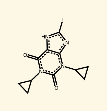 O=c1c2[nH]c(I)nc2n(C2CC2)c(=O)n1C1CC1